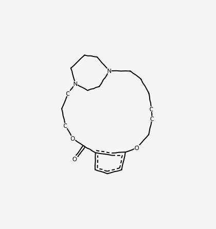 O=C1OCCCN2CCCN(CCCCCCOc3cccc1c3)CC2